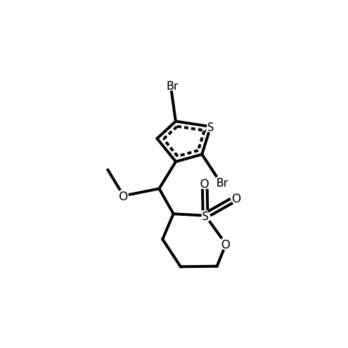 COC(c1cc(Br)sc1Br)C1CCCOS1(=O)=O